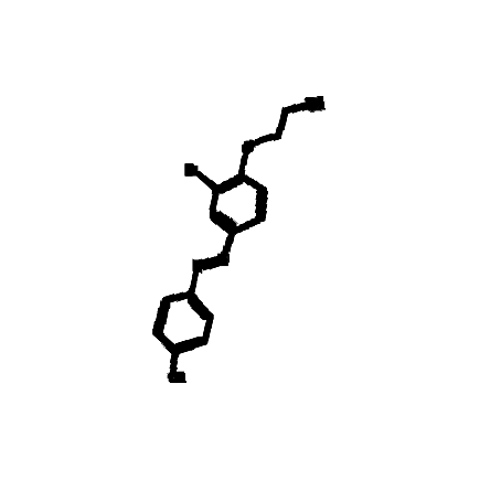 N#Cc1ccc(/N=N/c2ccc(OCCO)c(Br)c2)cc1